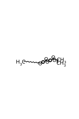 CCCCCCCCCCCCOc1ccc(C(=O)Oc2ccc(C(=O)OCC(C)CC)cc2)cc1